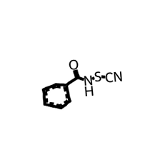 N#CSNC(=O)c1ccccc1